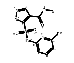 COC(=O)c1cn[nH]c1S(=O)(=O)Nc1cccc(F)n1